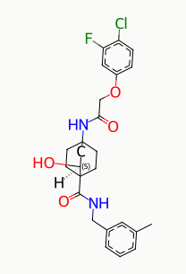 Cc1cccc(CNC(=O)C23CCC(NC(=O)COc4ccc(Cl)c(F)c4)(CC2)C[C@@H]3O)c1